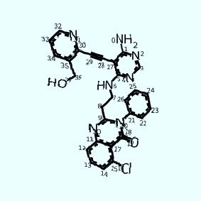 Nc1ncnc(NCCc2nc3cccc(Cl)c3c(=O)n2-c2ccccc2)c1C#Cc1ncccc1CO